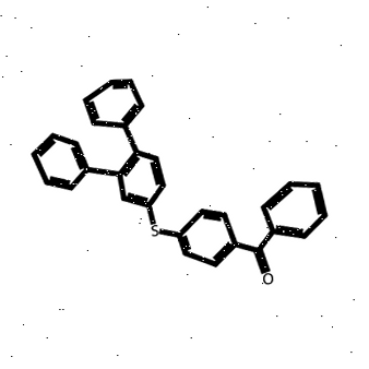 O=C(c1ccccc1)c1ccc(Sc2ccc(-c3ccccc3)c(-c3ccccc3)c2)cc1